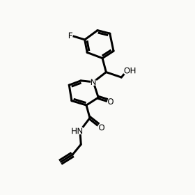 C#CCNC(=O)c1cccn(C(CO)c2cccc(F)c2)c1=O